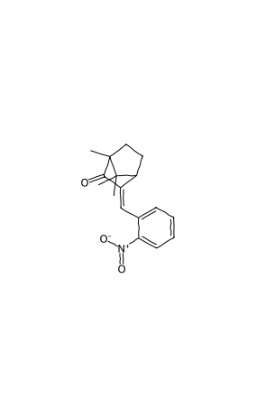 CC12CCC(C(=Cc3ccccc3[N+](=O)[O-])C1=O)C2(C)C